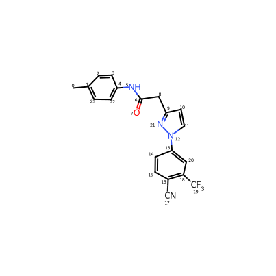 Cc1ccc(NC(=O)Cc2ccn(-c3ccc(C#N)c(C(F)(F)F)c3)n2)cc1